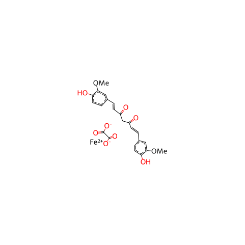 COc1cc(/C=C/C(=O)CC(=O)/C=C/c2ccc(O)c(OC)c2)ccc1O.O=C([O-])C(=O)[O-].[Fe+2]